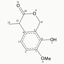 COc1ccc2c(c1O)COC(=O)C2C